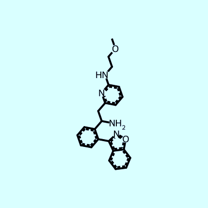 COCCNc1cccc(CC(N)c2ccccc2-c2noc3ccccc23)n1